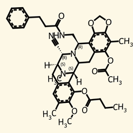 CCCC(=O)Oc1c(OC)c(C)cc2c1[C@H]1C3Cc4c(OC(C)=O)c(C)c5c(c4[C@H](CNC(=O)CCc4ccccc4)N3[C@@H](C#N)[C@H](C2)N1C)OCO5